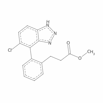 COC(=O)CCc1ccccc1-c1c(Cl)ccc2[nH]nnc12